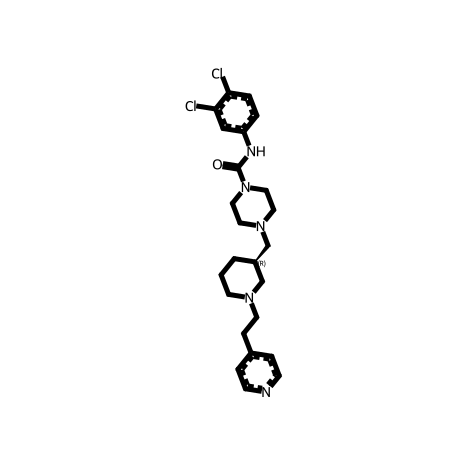 O=C(Nc1ccc(Cl)c(Cl)c1)N1CCN(C[C@@H]2CCCN(CCc3ccncc3)C2)CC1